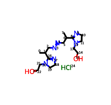 CC(CN=NCC(C)C1=NCCN1CCO)C1=NCCN1CCO.Cl